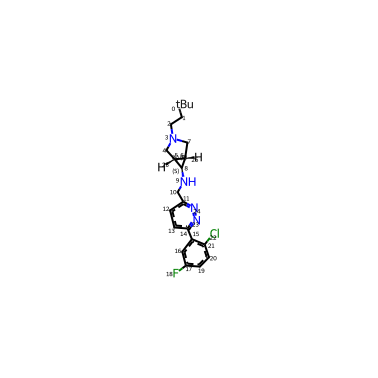 CC(C)(C)CCN1C[C@@H]2[C@H](C1)[C@H]2NCc1ccc(-c2cc(F)ccc2Cl)nn1